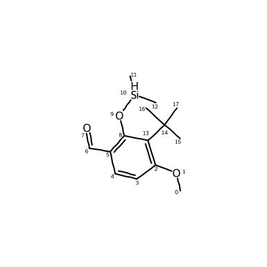 COc1ccc(C=O)c(O[SiH](C)C)c1C(C)(C)C